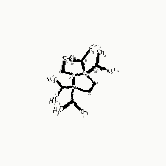 [CH2]CN1[Si](C(C)C)(C(C)C)CC[Si]1(C(C)C)C(C)C